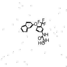 O=C(NO)Nc1ccc(Oc2ccc3ccccc3c2)c(C(F)(F)F)c1